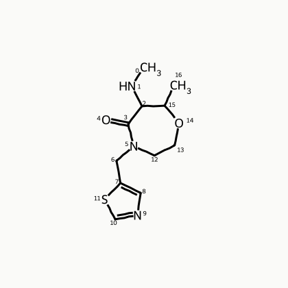 CNC1C(=O)N(Cc2cncs2)CCOC1C